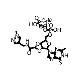 Cc1nc2c(ncn2C2OC(COP(=O)(O)OP(=O)(O)OP(=O)(O)O)C3OC(C(=O)NCc4cnn(C)c4)OC32)c(=S)[nH]1